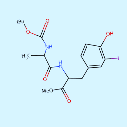 COC(=O)C(Cc1ccc(O)c(I)c1)NC(=O)C(C)NC(=O)OC(C)(C)C